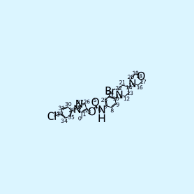 Cc1c(OC(=O)Nc2ccc(N3CCC(N4CCOCC4)CC3)c(Br)c2)cnn1-c1ccc(Cl)cc1